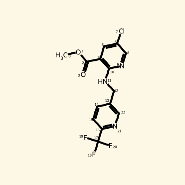 COC(=O)c1cc(Cl)cnc1NCc1ccc(C(F)(F)F)nc1